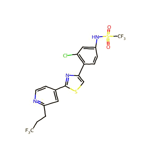 O=S(=O)(Nc1ccc(-c2csc(-c3ccnc(CCC(F)(F)F)c3)n2)c(Cl)c1)C(F)(F)F